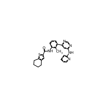 Cc1c(NC(=O)c2cc3c(s2)CCCC3)cccc1-c1cc(Nc2ccccn2)ncn1